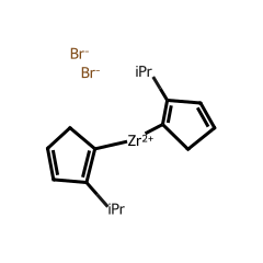 CC(C)C1=[C]([Zr+2][C]2=C(C(C)C)C=CC2)CC=C1.[Br-].[Br-]